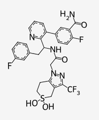 NC(=O)c1cc(-c2cccnc2C(Cc2cccc(F)c2)NC(=O)Cn2nc(C(F)(F)F)c3c2CCS(O)(O)C3)ccc1F